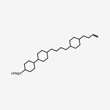 C=CCCC1CCC(CCCCC2CCC(C3CCC(CCCCCCC)CC3)CC2)CC1